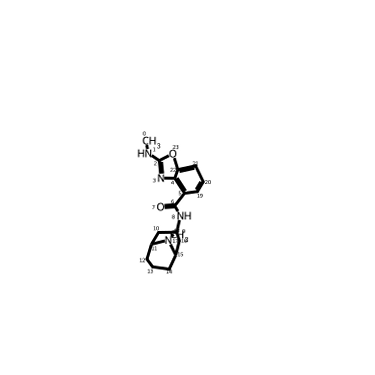 CNc1nc2c(C(=O)NC3CC4CCCC(C3)N4C)cccc2o1